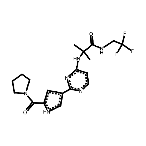 CC(C)(Nc1ccnc(-c2c[nH]c(C(=O)N3CCCC3)c2)n1)C(=O)NCC(F)(F)F